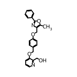 Cc1oc(-c2ccccc2)nc1COc1ccc(COc2cccnc2CO)cc1